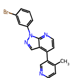 Cc1ccncc1-c1ccnc2c1cnn2-c1cccc(Br)c1